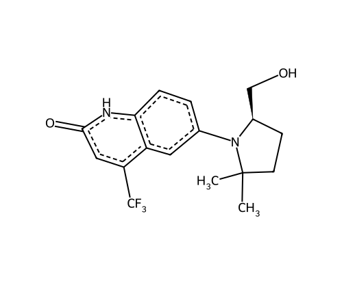 CC1(C)CC[C@H](CO)N1c1ccc2[nH]c(=O)cc(C(F)(F)F)c2c1